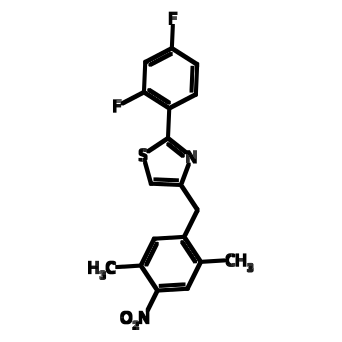 Cc1cc([N+](=O)[O-])c(C)cc1Cc1csc(-c2ccc(F)cc2F)n1